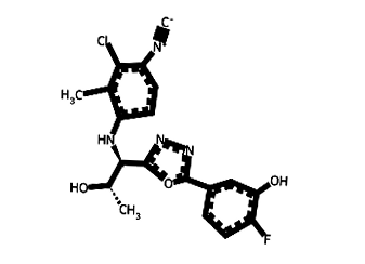 [C-]#[N+]c1ccc(N[C@@H](c2nnc(-c3ccc(F)c(O)c3)o2)[C@H](C)O)c(C)c1Cl